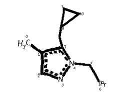 Cc1[c]nn(CC(C)C)c1C1CC1